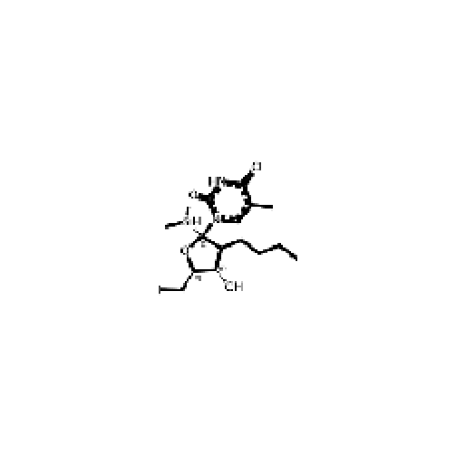 CCCCC1[C@H](O)[C@@H](CI)O[C@]1(n1cc(C)c(=O)[nH]c1=O)[SiH](C)C